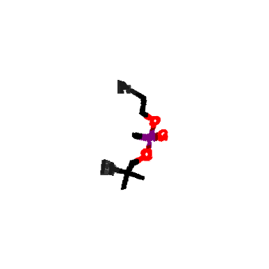 CCC(C)(C)COP(C)(=O)OCCC(C)C